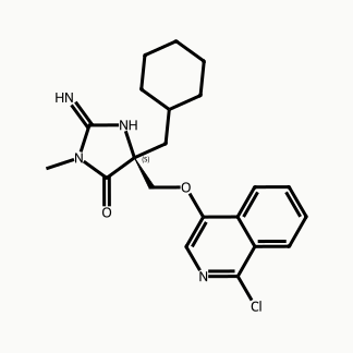 CN1C(=N)N[C@](COc2cnc(Cl)c3ccccc23)(CC2CCCCC2)C1=O